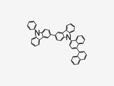 c1ccc(-n2c3ccccc3c3cc(-c4ccc5c(c4)c4ccccc4n5-c4ccc(-c5cccc6ccccc56)c5ccccc45)ccc32)cc1